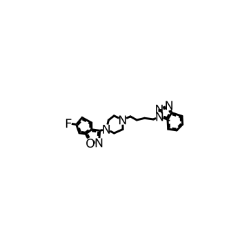 Fc1ccc2c(N3CCN(CCCCn4nnc5ccccc54)CC3)noc2c1